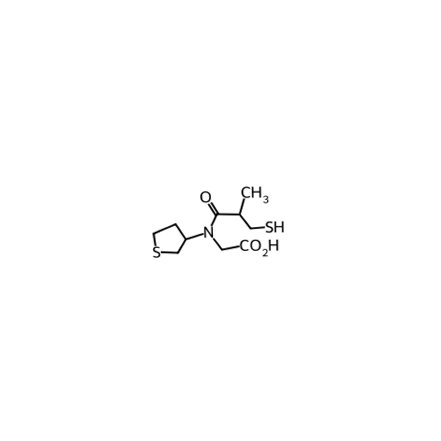 CC(CS)C(=O)N(CC(=O)O)C1CCSC1